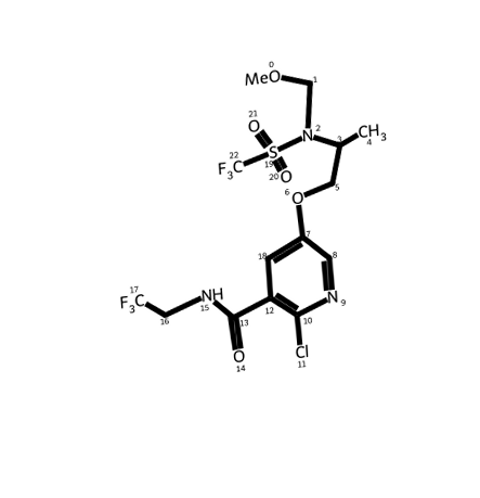 COCN(C(C)COc1cnc(Cl)c(C(=O)NCC(F)(F)F)c1)S(=O)(=O)C(F)(F)F